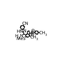 CSc1cc(C)c2c(ccn2S(=O)(=O)c2ccc(C)cc2)c1C(N)c1nc2cc(C#N)ccc2[nH]1